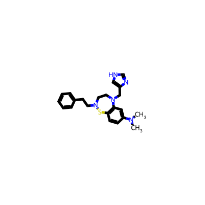 CN(C)c1ccc2c(c1)N(Cc1c[nH]cn1)CCN(CCc1ccccc1)S2